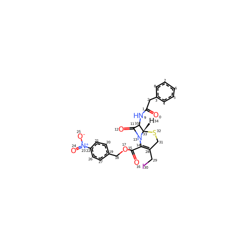 O=C(Cc1ccccc1)NC1C(=O)N2C(C(=O)OCc3ccc([N+](=O)[O-])cc3)=C(CI)CS[C@@H]12